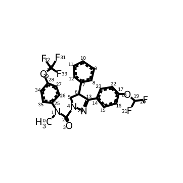 CN(C(=O)N1CC(c2ccccc2)C(c2ccc(OC(F)F)cc2)=N1)c1ccc(OC(F)(F)F)cc1